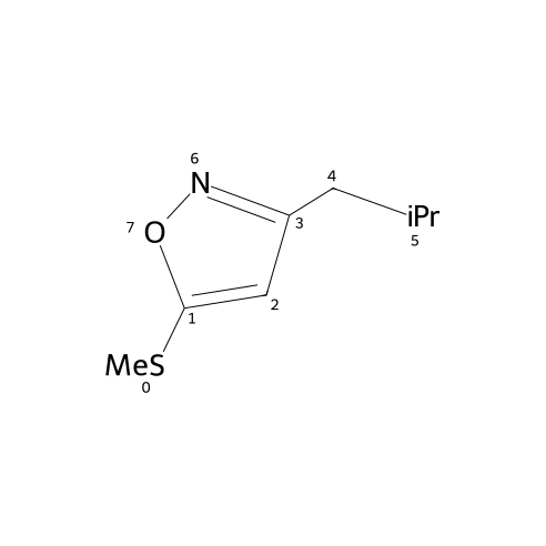 CSc1cc(CC(C)C)no1